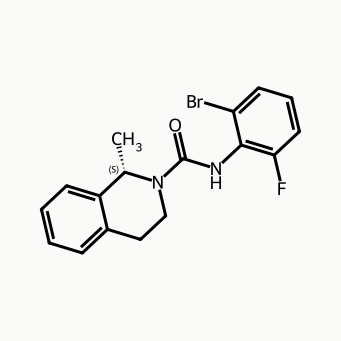 C[C@H]1c2ccccc2CCN1C(=O)Nc1c(F)cccc1Br